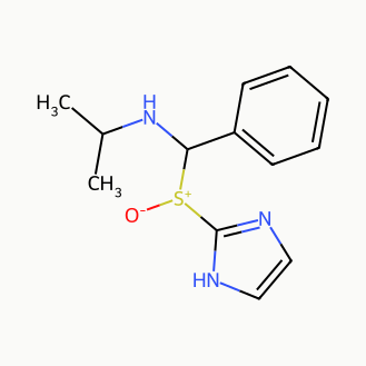 CC(C)NC(c1ccccc1)[S+]([O-])c1ncc[nH]1